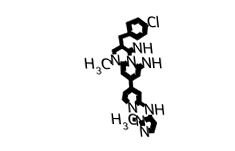 CN1CC(Cc2ccc(Cl)cc2)C(=N)n2c1cc(-c1ccnc(Nc3ccnn3C)c1)cc2=N